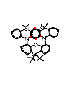 CC(C)(C)[Si]1(C(C)(C)C)c2cccc(N3c4ccccc4[Si](C)(C)c4ccccc43)c2Oc2c(N3c4ccccc4[Si](C)(C)c4ccccc43)cccc21